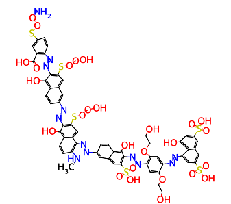 CNc1ccc2c(O)c(N=Nc3ccc4c(O)c(N=Nc5ccc(SOON)cc5C(=O)O)c(SOOO)cc4c3)c(SOOO)cc2c1N=Nc1ccc2c(O)c(N=Nc3cc(OCCO)c(N=Nc4cc(S(=O)(=O)O)cc5cc(S(=O)(=O)O)cc(O)c45)cc3OCCO)c(S(=O)(=O)O)cc2c1